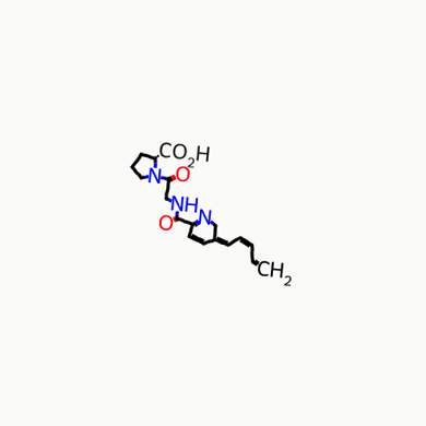 C=C/C=C\C=C1\C=CC(C(=O)NCC(=O)N2CCC[C@@H]2C(=O)O)=NC1